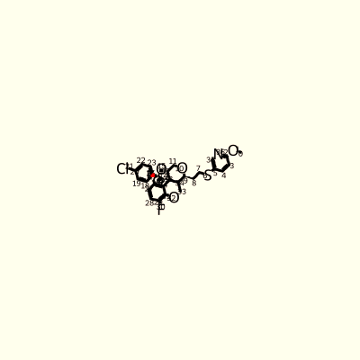 COc1ccc(SCC[C@@H]2OCC[C@@]3(S(=O)(=O)c4ccc(Cl)cc4)c4c(F)ccc(F)c4OCC23)cn1